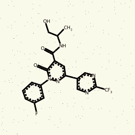 CC(CO)NC(=O)c1cc(-c2cnc(C(F)(F)F)nc2)nn(-c2cccc(F)c2)c1=O